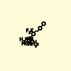 CC(N)(CO)c1nc(-c2ccc(CCc3ccc(-c4ccccc4)cc3)c(C(F)(F)F)c2)cn1N